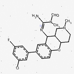 CN1CCC2Oc3ccc(-c4cc(F)cc(Cl)c4)cc3C(/N=C(/N)N(C)C=O)C2C1